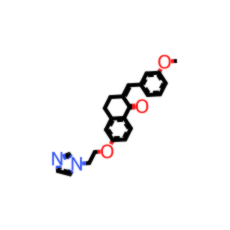 COc1cccc(C=C2CCc3cc(OCCn4ccnc4)ccc3C2=O)c1